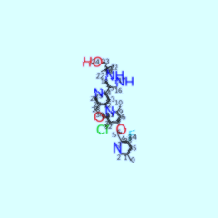 Cc1cnc(COc2cc(C)n(-c3cc(/C(C=N)=C/NC(C)(C)CO)ncc3C)c(=O)c2Cl)c(F)c1